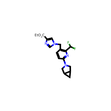 CCOC(=O)c1cn(Cc2ccc(N3CC4CC4C3)nc2C(F)F)cn1